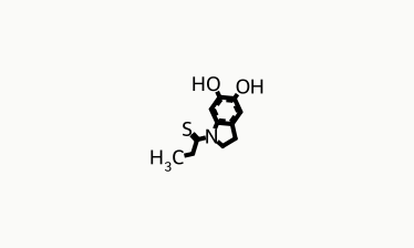 CCC(=S)N1CCc2cc(O)c(O)cc21